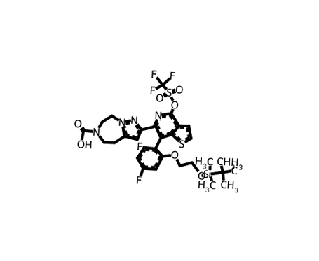 CC(C)(C)[Si](C)(C)OCCOc1cc(F)cc(F)c1-c1c(-c2cc3n(n2)CCN(C(=O)O)CC3)nc(OS(=O)(=O)C(F)(F)F)c2ccsc12